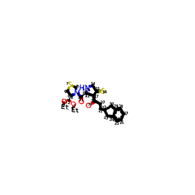 CCOC(OCC)[C@@H]1CSCN1C(=O)[C@H]1NCC(=S)C1C(=O)CCC1Cc2ccccc2C1